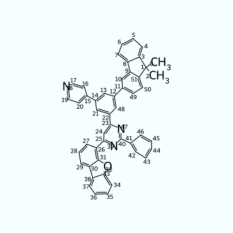 CC1(C)c2ccccc2-c2cc(-c3cc(-c4ccncc4)cc(-c4cc(-c5cccc6c5oc5ccccc56)nc(-c5ccccc5)n4)c3)ccc21